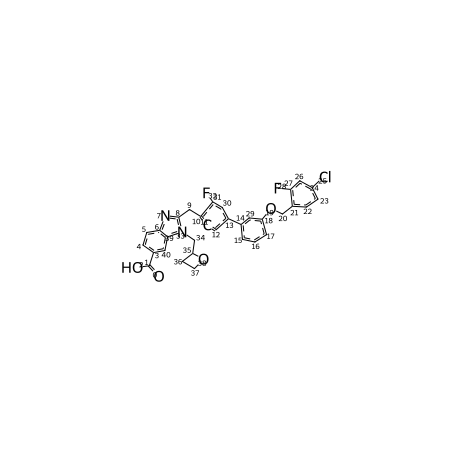 O=C(O)c1ccc2nc(Cc3ccc(-c4cccc(OCc5ccc(Cl)cc5F)c4)cc3F)n(CC3CCO3)c2c1